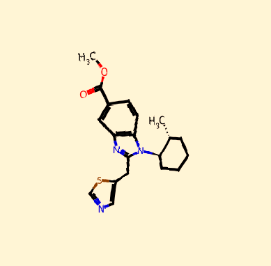 COC(=O)c1ccc2c(c1)nc(Cc1cncs1)n2[C@@H]1CCCC[C@H]1C